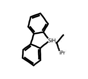 CC(C)C(C)[SiH]1c2ccccc2-c2ccccc21